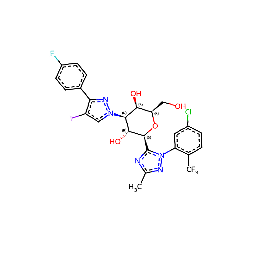 Cc1nc([C@@H]2O[C@H](CO)[C@H](O)[C@H](n3cc(I)c(-c4ccc(F)cc4)n3)[C@H]2O)n(-c2cc(Cl)ccc2C(F)(F)F)n1